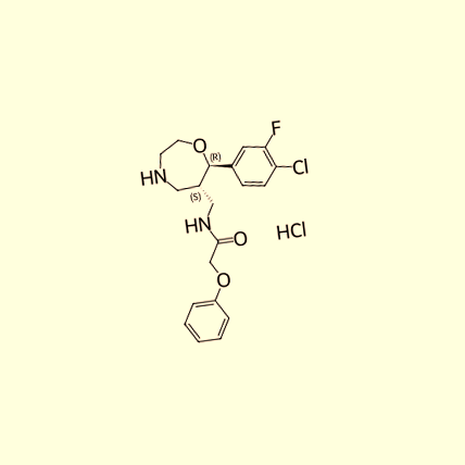 Cl.O=C(COc1ccccc1)NC[C@@H]1CNCCO[C@H]1c1ccc(Cl)c(F)c1